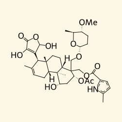 CO[C@@H]1CC[C@H](OCC2(COC(=O)c3ccc(C)[nH]3)[C@H]3CC[C@@]4(C)[C@H](C5=C(O)C(=O)OC5O)C(C)=CC[C@H]4[C@]3(C)[C@@H](O)C[C@H]2OC(C)=O)O[C@H]1C